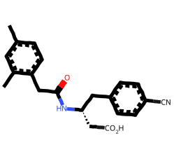 Cc1ccc(CC(=O)N[C@@H](CC(=O)O)Cc2ccc(C#N)cc2)c(C)c1